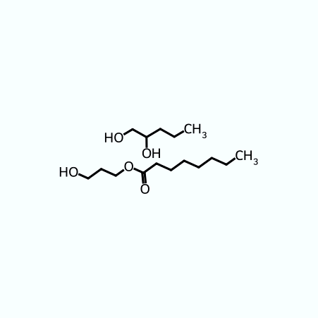 CCCC(O)CO.CCCCCCCC(=O)OCCCO